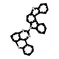 c1ccc2c(c1)Sc1cccc3nc(-n4c5ccccc5c5c6c(ccc54)oc4ccccc46)nc-2c13